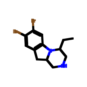 CCC1CNCC2Cc3cc(Br)c(Br)cc3N12